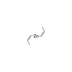 C/C=[CH]\[Zn]/[CH]=C\C